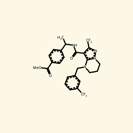 COC(=O)c1ccc(C(C)NC(=O)c2c(C(F)(F)F)nn3c2N(Cc2cccc(C(F)(F)F)c2)CCC3)cc1